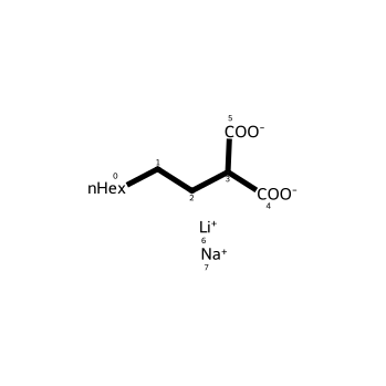 CCCCCCCCC(C(=O)[O-])C(=O)[O-].[Li+].[Na+]